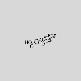 O=C(O)c1ccc(OC(=O)C(F)(F)C(F)(F)C(F)(F)C(F)(F)F)cc1